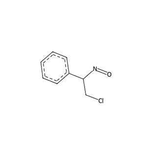 O=NC(CCl)c1ccccc1